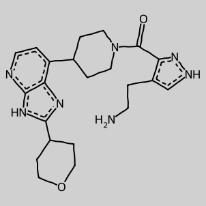 NCCc1c[nH]nc1C(=O)N1CCC(c2ccnc3[nH]c(C4CCOCC4)nc23)CC1